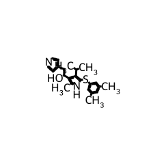 Cc1cc(C)cc(Sc2[nH]c(C)c(C(O)Cc3ccncc3)c2C(C)C)c1